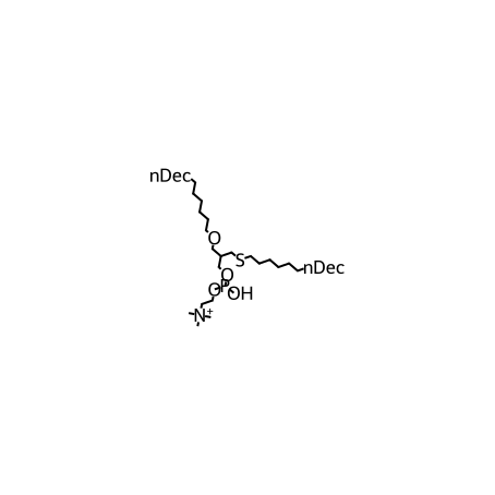 CCCCCCCCCCCCCCCCOCC(COP(O)OCC[N+](C)(C)C)CSCCCCCCCCCCCCCCCC